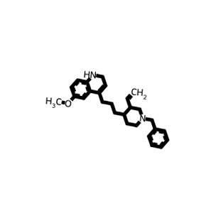 C=CC1CN(Cc2ccccc2)CCC1CCCC1=CCNc2ccc(OC)cc21